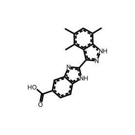 Cc1cc(C)c2[nH]nc(-c3nc4cc(C(=O)O)ccc4[nH]3)c2c1C